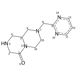 O=C1CNCC2CN(Cc3ncccn3)CCN12